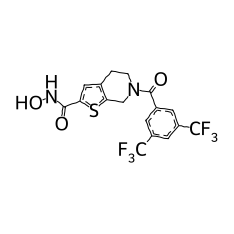 O=C(NO)c1cc2c(s1)CN(C(=O)c1cc(C(F)(F)F)cc(C(F)(F)F)c1)CC2